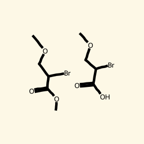 COCC(Br)C(=O)O.COCC(Br)C(=O)OC